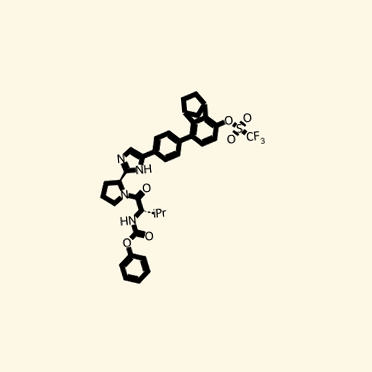 CC(C)[C@H](NC(=O)Oc1ccccc1)C(=O)N1CCC[C@H]1c1ncc(-c2ccc(-c3ccc(OS(=O)(=O)C(F)(F)F)c4c3C3CCC4C3)cc2)[nH]1